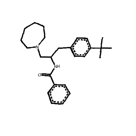 CC(C)(C)c1ccc(CC(CN2CCCCCC2)NC(=O)c2ccccc2)cc1